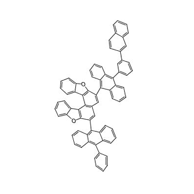 c1ccc(-c2c3ccccc3c(-c3cc4cc(-c5c6ccccc6c(-c6cccc(-c7ccc8ccccc8c7)c6)c6ccccc56)c5oc6ccccc6c5c4c4c3oc3ccccc34)c3ccccc23)cc1